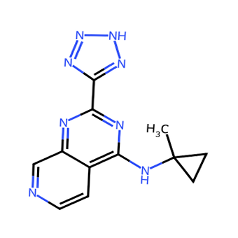 CC1(Nc2nc(-c3nn[nH]n3)nc3cnccc23)CC1